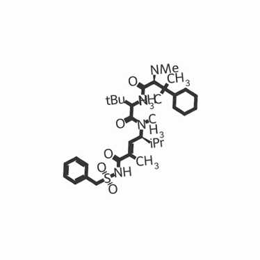 CN[C@H](C(=O)NC(C(=O)N(C)[C@H](/C=C(\C)C(=O)NS(=O)(=O)Cc1ccccc1)C(C)C)C(C)(C)C)C(C)(C)C1CCCCC1